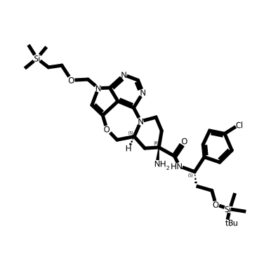 CC(C)(C)[Si](C)(C)OCC[C@H](NC(=O)[C@@]1(N)CCN2c3ncnc4c3c(cn4COCC[Si](C)(C)C)OC[C@@H]2C1)c1ccc(Cl)cc1